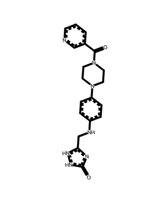 O=C(c1cccnc1)N1CCN(c2ccc(NCc3nc(=O)[nH][nH]3)cc2)CC1